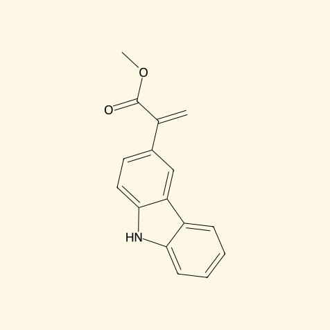 C=C(C(=O)OC)c1ccc2[nH]c3ccccc3c2c1